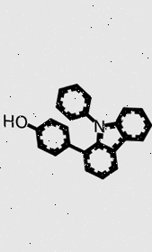 Oc1ccc(-c2cccc3c4ccccc4n(-c4ccccc4)c23)cc1